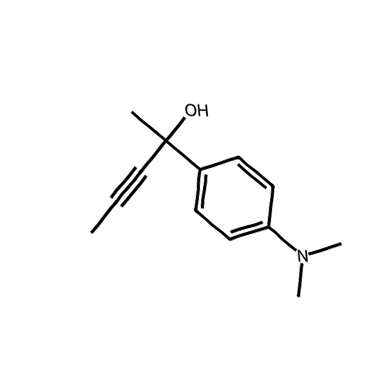 CC#CC(C)(O)c1ccc(N(C)C)cc1